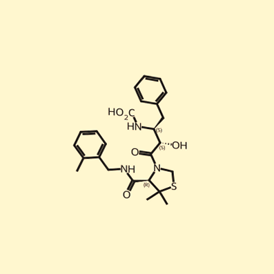 Cc1ccccc1CNC(=O)[C@H]1N(C(=O)[C@@H](O)[C@H](Cc2ccccc2)NC(=O)O)CSC1(C)C